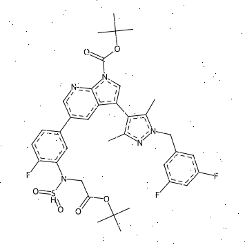 Cc1nn(Cc2cc(F)cc(F)c2)c(C)c1-c1cn(C(=O)OC(C)(C)C)c2ncc(-c3ccc(F)c(N(CC(=O)OC(C)(C)C)[SH](=O)=O)c3)cc12